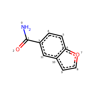 NC(=O)c1ccc2occc2c1